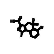 Cn1nc(C(=O)O)c2c1-c1cccc(Br)c1S(=O)(=O)C2